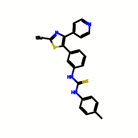 Cc1ccc(NC(=S)Nc2cccc(-c3sc(C(C)(C)C)nc3-c3ccncc3)c2)cc1